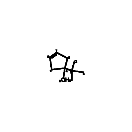 CC(C)(C)C1(O)CC=CC1